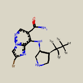 [2H]C([2H])([2H])C([2H])([2H])[C@H]1CNC[C@H]1Nc1c(C(N)=O)cnn2cc(Br)nc12